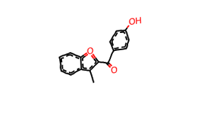 Cc1c(C(=O)c2ccc(O)cc2)oc2ccccc12